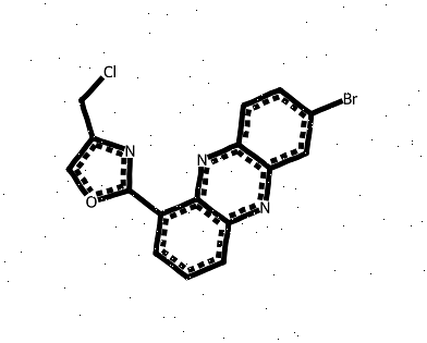 ClCc1coc(-c2cccc3nc4cc(Br)ccc4nc23)n1